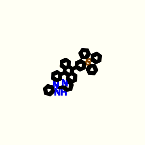 c1ccc(S(c2ccccc2)(c2ccccc2)c2ccc(-c3c4ccccc4c(-c4cccc(N5c6ccccc6NC5c5ccccn5)c4)c4ccccc34)cc2)cc1